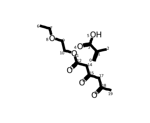 C=C(C)C(=O)O.CCOCCOC(=O)CC(=O)CC(C)=O